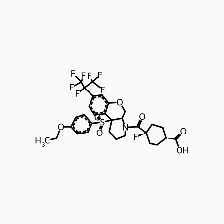 CCOc1ccc(S(=O)(=O)C23CCCN(C(=O)[C@]4(F)CC[C@@H](C(=O)O)CC4)C2COc2cc(C(F)(C(F)(F)F)C(F)(F)F)ccc23)cc1